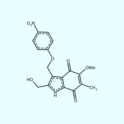 COC1=C(C)C(=O)c2[nH]c(CO)c(COc3ccc([N+](=O)[O-])cc3)c2C1=O